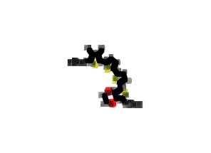 CCCCCCCCCCc1sc(-c2ccc(-c3ccc(-c4sc(CCCCCCCCCC)c5c4OCCO5)s3)s2)c(C)c1C